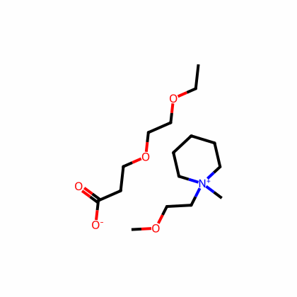 CCOCCOCCC(=O)[O-].COCC[N+]1(C)CCCCC1